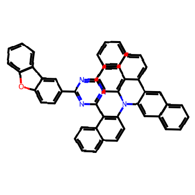 c1ccc(-c2nc(-c3ccc4oc5ccccc5c4c3)nc(-c3c(N4c5cc6ccccc6cc5-c5cccc6cccc4c56)ccc4ccccc34)n2)cc1